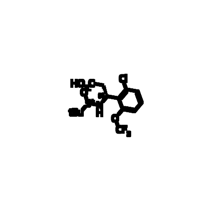 CC(C)(C)[S+]([O-])N[C@H](CC(=O)O)c1c(Cl)cccc1OC(F)(F)F